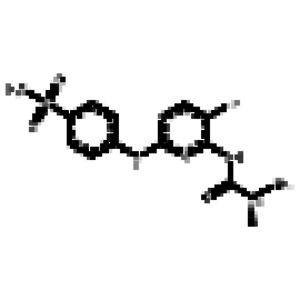 C[C@H](N)C(=O)Nc1nc(Nc2ccc(S(N)(=O)=O)cc2)ncc1Br